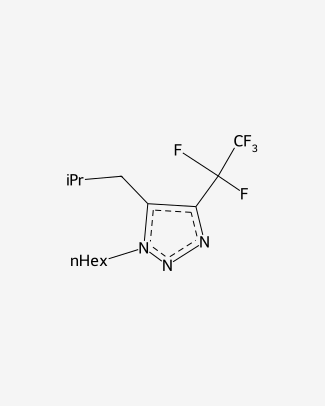 CCCCCCn1nnc(C(F)(F)C(F)(F)F)c1CC(C)C